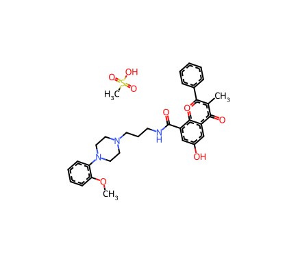 COc1ccccc1N1CCN(CCCNC(=O)c2cc(O)cc3c(=O)c(C)c(-c4ccccc4)oc23)CC1.CS(=O)(=O)O